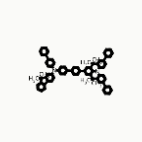 CC1(C)c2ccccc2-c2ccc(N(c3ccc(-c4ccccc4)cc3)c3ccc(-c4ccc(-c5cc6c7c(c5)C(C)(C)c5cc(-c8ccccc8)ccc5N7c5ccc(-c7ccccc7)cc5C6(C)C)cc4)cc3)cc21